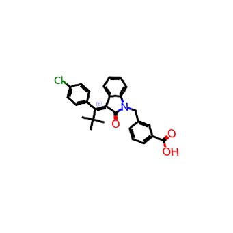 CC(C)(C)/C(=C1\C(=O)N(Cc2cccc(C(=O)O)c2)c2ccccc21)c1ccc(Cl)cc1